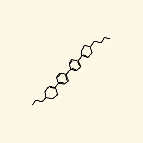 CCCCC1CC=C(c2ccc(-c3ccc(C4=CCC(CCC)CC4)cc3)cc2)CC1